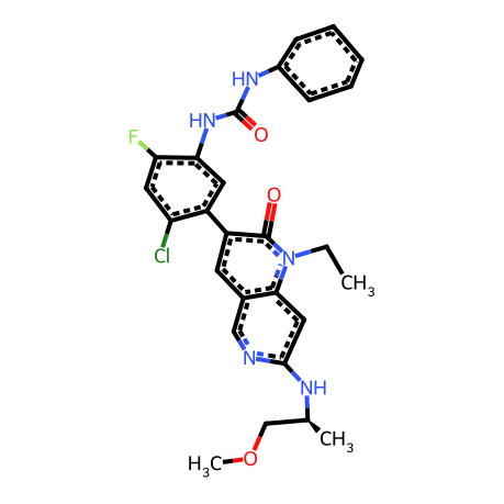 CCn1c(=O)c(-c2cc(NC(=O)Nc3ccccc3)c(F)cc2Cl)cc2cnc(N[C@@H](C)COC)cc21